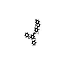 c1ccc(Oc2cc(CNc3ccc(-c4ccc5ccccc5n4)cc3)cc(Oc3ccccc3)c2)cc1